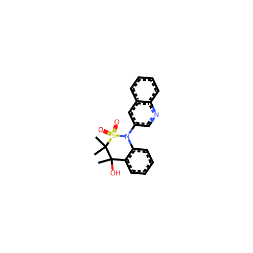 CC1(O)c2ccccc2N(c2cnc3ccccc3c2)S(=O)(=O)C1(C)C